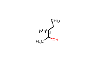 CC(O)CCC=O.[MgH2]